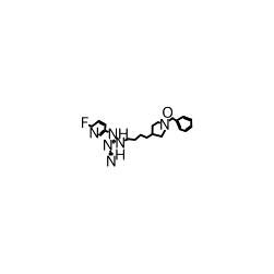 N#C/N=C(\NCCCCC1CCN(C(=O)c2ccccc2)CC1)Nc1ccc(F)nc1